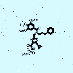 CNS(=O)(=O)NC(=O)c1nc(CN(CCCc2ccccc2)C(=O)c2cc(OC)c(C)c(OC)c2)sc1C1CC1